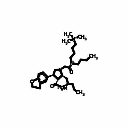 CCCCN(CCCC[N+](C)(C)C)C(=O)CN1C[C@H](c2ccc3c(c2)CCO3)[C@@H](C(=O)O)[C@@H]1CC(C)CCC